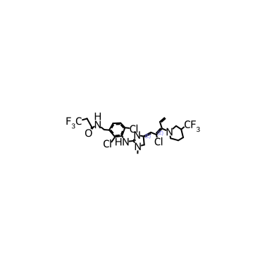 C=C/C(=C(Cl)\C=C1/CN(C)C(Nc2c(Cl)ccc(CNC(=O)CC(F)(F)F)c2Cl)=N1)N1CCCC(C(F)(F)F)C1